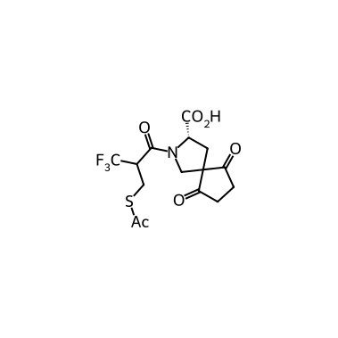 CC(=O)SCC(C(=O)N1CC2(C[C@H]1C(=O)O)C(=O)CCC2=O)C(F)(F)F